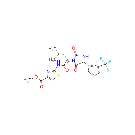 COC(=O)c1csc(NC(=O)[C@H](CC(C)C)N2C(=O)NC(c3cccc(C(F)(F)F)c3)C2=O)n1